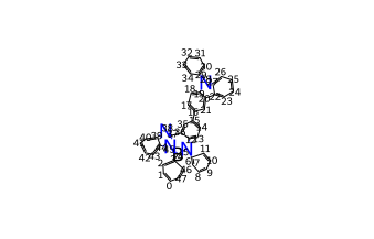 c1ccc(B2N(c3ccccc3)c3ccc(-c4ccc5c(c4)c4ccccc4n5-c4ccccc4)cc3-c3nc4ccccc4n32)cc1